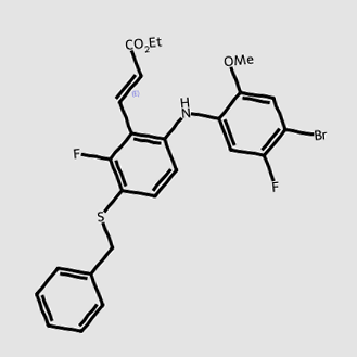 CCOC(=O)/C=C/c1c(Nc2cc(F)c(Br)cc2OC)ccc(SCc2ccccc2)c1F